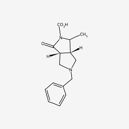 CC1[C@@H]2CN(Cc3ccccc3)C[C@@H]2C(=O)N1C(=O)O